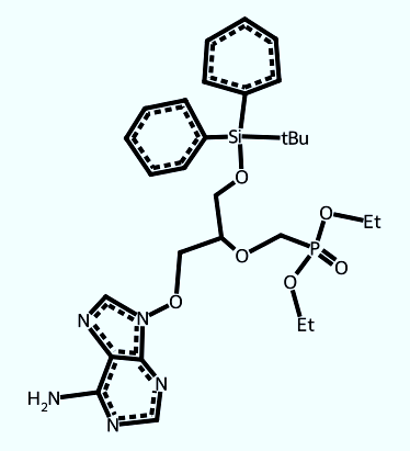 CCOP(=O)(COC(COn1cnc2c(N)ncnc21)CO[Si](c1ccccc1)(c1ccccc1)C(C)(C)C)OCC